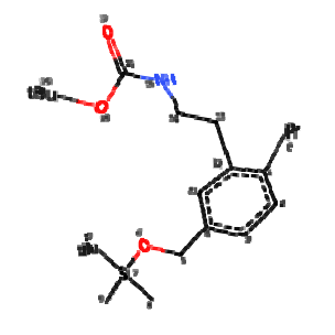 CC(C)c1ccc(CO[Si](C)(C)C(C)(C)C)cc1CCNC(=O)OC(C)(C)C